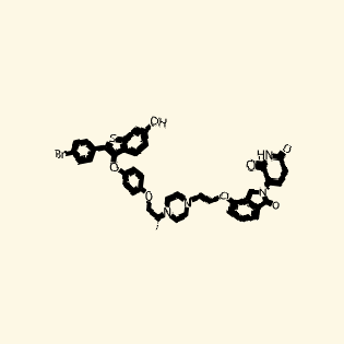 C[C@H](COc1ccc(Oc2c(-c3ccc(Br)cc3)sc3cc(O)ccc23)cc1)N1CCN(CCOc2cccc3c2CN(C2CCC(=O)NC2=O)C3=O)CC1